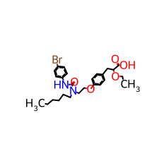 CCCCCCN(CCOc1ccc(CC(OCC)C(=O)O)cc1)C(=O)Nc1ccc(Br)cc1